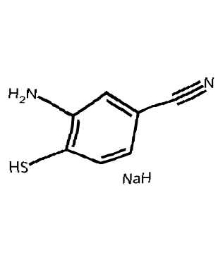 N#Cc1ccc(S)c(N)c1.[NaH]